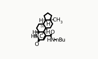 CCCCNC(=O)C1=CC(=O)N[C@@H]2CC[C@H]3[C@@H]4CCC[C@@]4(C)CC[C@@H]3[C@@]12C